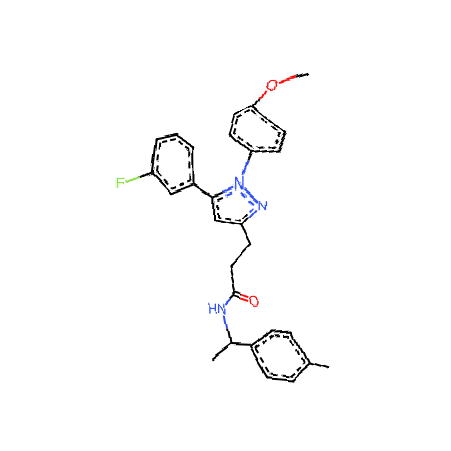 COc1ccc(-n2nc(CCC(=O)NC(C)c3ccc(C)cc3)cc2-c2cccc(F)c2)cc1